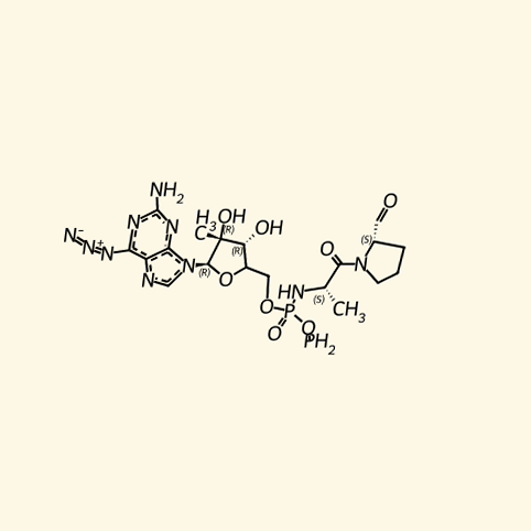 C[C@H](NP(=O)(OP)OCC1O[C@@H](n2cnc3c(N=[N+]=[N-])nc(N)nc32)[C@](C)(O)[C@@H]1O)C(=O)N1CCC[C@H]1C=O